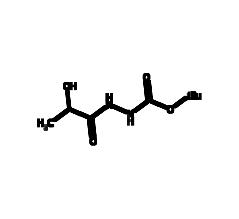 CC(O)C(=O)NNC(=O)OC(C)(C)C